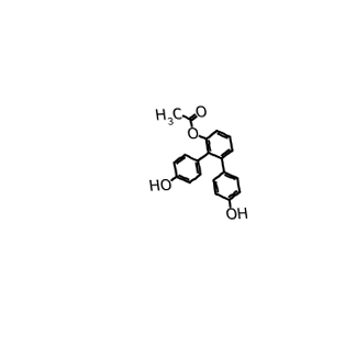 CC(=O)Oc1cccc(-c2ccc(O)cc2)c1-c1ccc(O)cc1